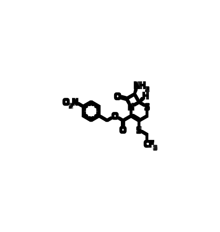 N[C@@H]1C(=O)N2C(C(=O)OCc3ccc([N+](=O)[O-])cc3)=C(SCC(F)(F)F)CS[C@@H]12